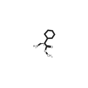 BC[C@H](C(=O)OC)C1CCCCC1